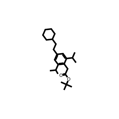 CC(C)c1cc(CCC2CCCCC2)cc(C(C)C)c1CC(=O)OC(C)(C)C